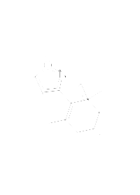 CC1=C(c2ccon2)C(C)(C)CCC1